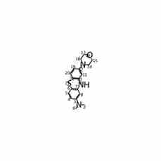 CN(C)c1ccc2c(c1)Nc1cc(N3CCOCC3)ccc1S2